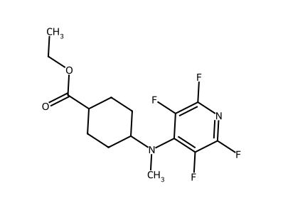 CCOC(=O)C1CCC(N(C)c2c(F)c(F)nc(F)c2F)CC1